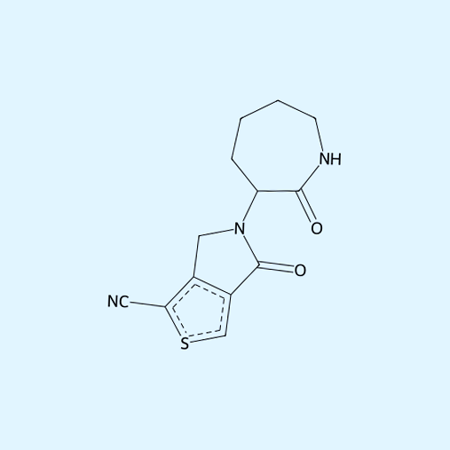 N#Cc1scc2c1CN(C1CCCCNC1=O)C2=O